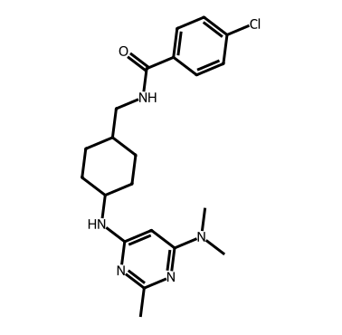 Cc1nc(NC2CCC(CNC(=O)c3ccc(Cl)cc3)CC2)cc(N(C)C)n1